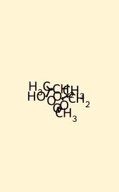 C=C(C)C(=O)O.C=C(C)C(=O)OOC